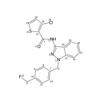 O=C(Nc1nn(Cc2ccc(CF)cc2)c2ccccc12)c1sccc1Cl